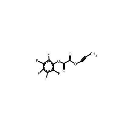 CC#COC(=O)C(=O)Oc1c(F)c(F)c(F)c(F)c1F